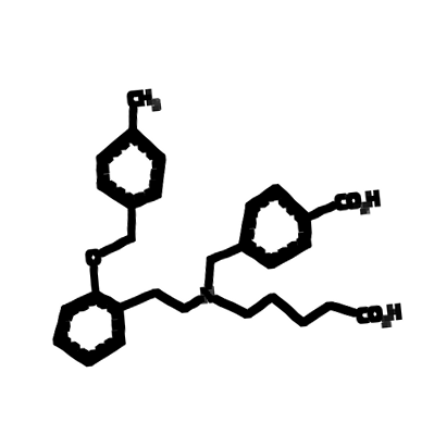 Cc1ccc(COc2ccccc2CCN(CCCCC(=O)O)Cc2ccc(C(=O)O)cc2)cc1